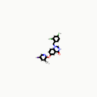 O=c1ncn(Cc2ccc(F)cc2F)c2ccc(Oc3ncc(I)cc3C(F)(F)F)cc12